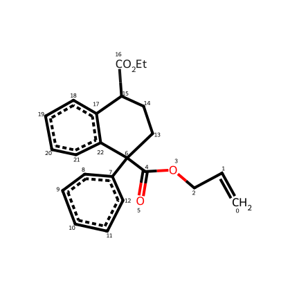 C=CCOC(=O)C1(c2ccccc2)CCC(C(=O)OCC)c2ccccc21